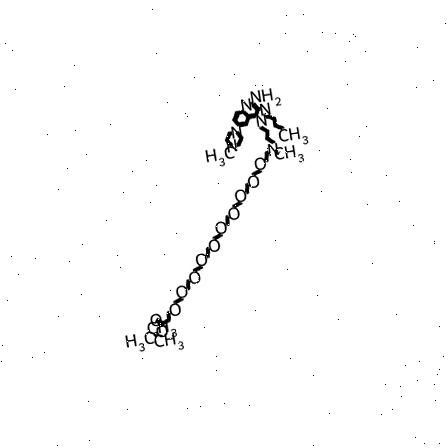 CCCCc1nc2c(N)nc3ccc(N4CCN(C)CC4)cc3c2n1CCCCN(C)CCOCCOCCOCCOCCOCCOCCOCCOCCOCCOCCC(=O)OC(C)(C)C